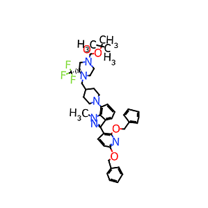 Cn1nc(-c2ccc(OCc3ccccc3)nc2OCc2ccccc2)c2cccc(N3CCC(CN4CCN(C(=O)OC(C)(C)C)C[C@H]4C(F)(F)F)CC3)c21